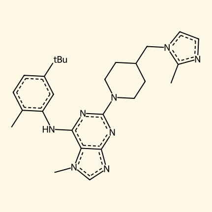 Cc1ccc(C(C)(C)C)cc1Nc1nc(N2CCC(Cn3ccnc3C)CC2)nc2ncn(C)c12